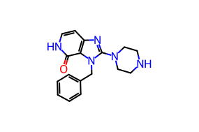 O=c1[nH]ccc2nc(N3CCNCC3)n(Cc3ccccc3)c12